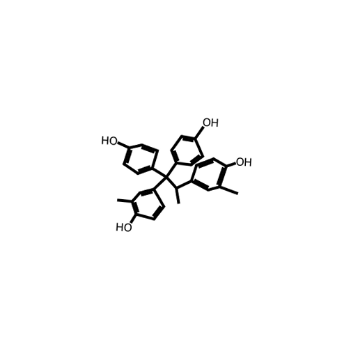 Cc1cc(C(C)C(c2ccc(O)cc2)(c2ccc(O)cc2)c2ccc(O)c(C)c2)ccc1O